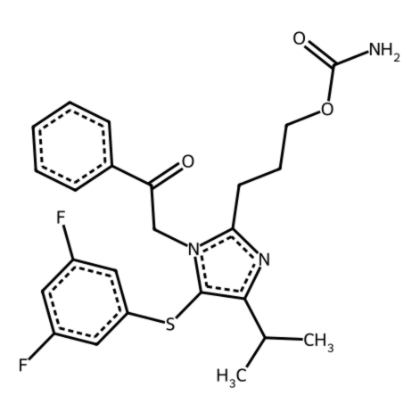 CC(C)c1nc(CCCOC(N)=O)n(CC(=O)c2ccccc2)c1Sc1cc(F)cc(F)c1